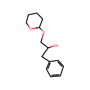 OC(COC1CCCCO1)Cc1ccccc1